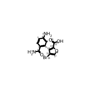 NC(=O)c1ccc(N)cc1.O=C(O)c1cc(Br)co1